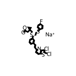 O=C([O-])CC1(CS[C@H](CCSc2ccc(F)cc2)c2cccc(C=Cc3ccc4sc(Cl)c(Cl)c4n3)c2)CC1.[Na+]